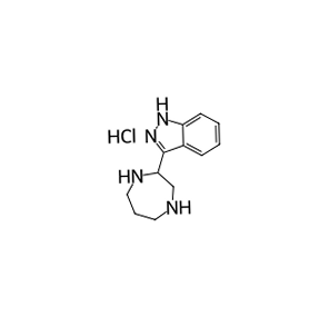 Cl.c1ccc2c(C3CNCCCN3)n[nH]c2c1